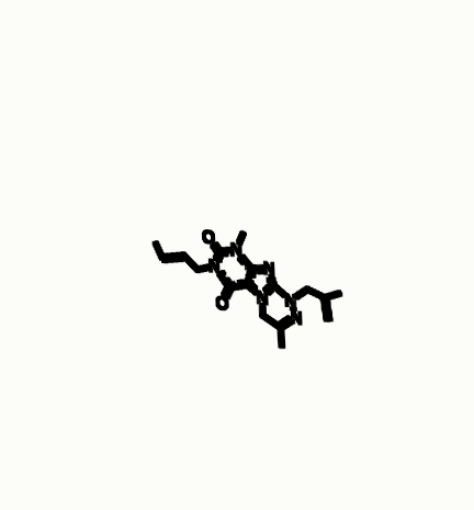 C=C(C)CN1N=C(C)Cn2c1nc1c2c(=O)n(C/C=C/C)c(=O)n1C